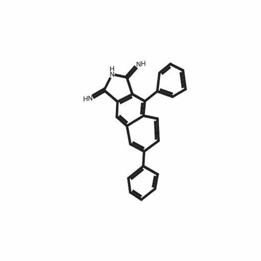 N=C1NC(=N)c2c1cc1cc(-c3ccccc3)ccc1c2-c1ccccc1